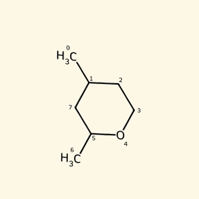 CC1CCOC(C)C1